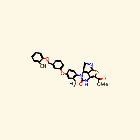 COC(=O)c1sc2nccc3c2c1NC(=O)N3c1ccc(Oc2cccc(COc3ccccc3C#N)c2)cc1C